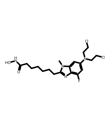 Cn1c(CCCCCCC(=O)NO)nc2c(F)cc(N(CCCl)CCCl)cc21